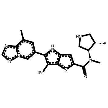 Cc1cc(-c2[nH]c3cc(C(=O)N(C)[C@H]4CNC[C@@H]4F)sc3c2C(C)C)cn2ncnc12